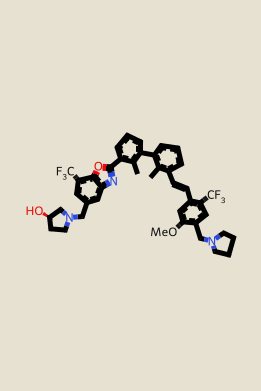 COc1cc(/C=C/c2cccc(-c3cccc(-c4nc5cc(CN6CC[C@@H](O)C6)cc(C(F)(F)F)c5o4)c3C)c2C)c(C(F)(F)F)cc1CN1CCCC1